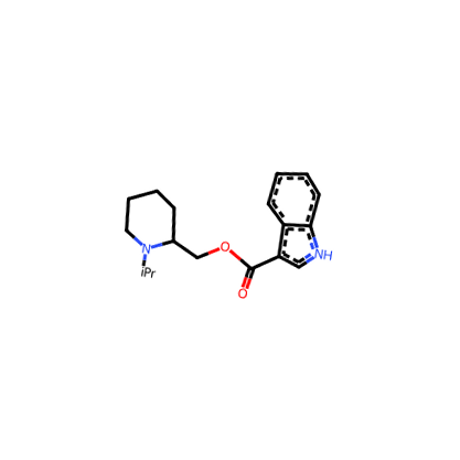 CC(C)N1CCCCC1COC(=O)c1c[nH]c2ccccc12